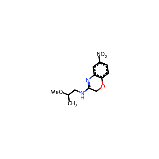 COC(C)CNC1=Nc2cc([N+](=O)[O-])ccc2OC1